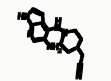 N#CCC1CCN(Nc2c(N)cnc3[nH]ccc23)CC1